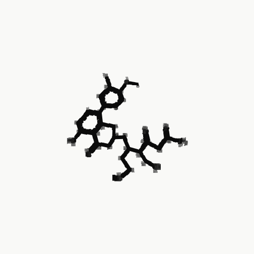 COc1ccc(-c2ccc(O)c3c2CC(CC(CCO)C(CO)C(=O)CC(N)=O)CC3=O)cc1C